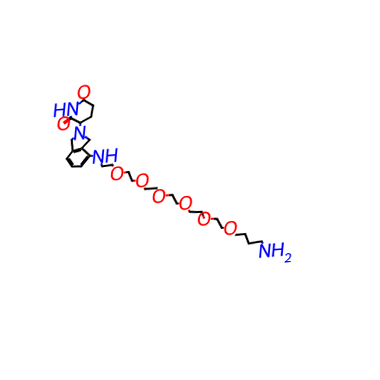 NCCCCOCCOCCOCCOCCOCCOCCNc1cccc2c1CN(C1CCC(=O)NC1=O)C2